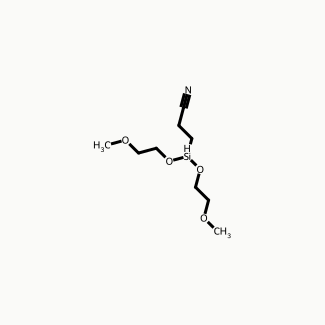 COCCO[SiH](CCC#N)OCCOC